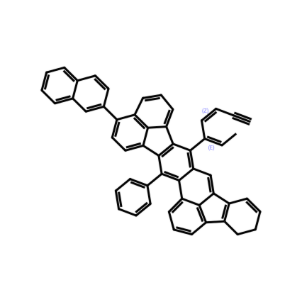 C#C/C=C\C(=C/C)c1c2cc3c4c(c5cccc(c2c(-c2ccccc2)c2c6ccc(-c7ccc8ccccc8c7)c7cccc(c12)c76)c35)CCC=C4